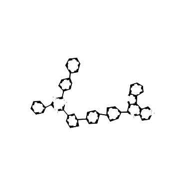 c1ccc(-c2ccc(-c3nc(-c4ccccc4)nc(-c4cccc(-c5ccc(-c6ccc(-c7nc8ccncc8c8c7sc7ccccc78)cc6)cc5)c4)n3)cc2)cc1